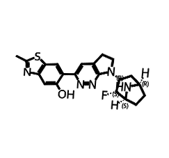 Cc1nc2cc(O)c(-c3cc4c(nn3)N([C@@H]3C[C@H]5CC[C@H](N5)[C@@H]3F)CC4)cc2s1